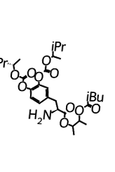 CCC(C)C(=O)OC(C)C(C)OC(=O)[C@@H](N)Cc1ccc(OC(=O)O[C@@H](C)C(C)C)c(OC(=O)OC(C)C(C)C)c1